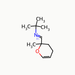 CC(C)(C)/N=C/C1(C)CCC=CO1